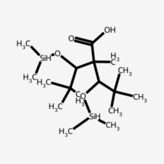 C[SiH](C)OC(C(C)(C)C)C(C)(C(=O)O)C(O[SiH](C)C)C(C)(C)C